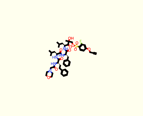 C#CCOc1ccc(S(=O)(=O)OCC(C)(O)C(=O)[C@H](CC(C)C)NC(=O)[C@H](Cc2ccccc2)NC(=O)[C@H](CC(C)C)NC(=O)[C@H](CCc2ccccc2)NC(=O)CN2CCOCC2)c(F)c1